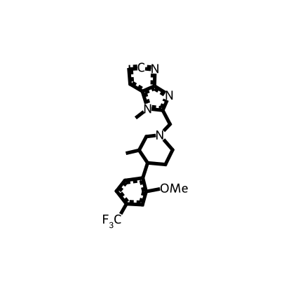 COc1cc(C(F)(F)F)ccc1C1CCN(Cc2nc3ncccc3n2C)CC1C